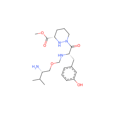 COC(=O)[C@@H]1CCCN(C(=O)[C@H](Cc2cccc(O)c2)NCOC[C@@H](N)C(C)C)N1